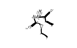 C=CC(N)=O.CCOC(N)=O